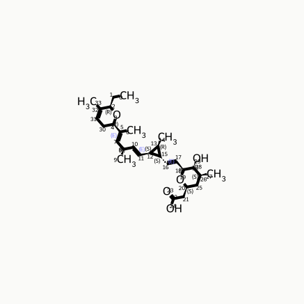 CC[C@H]1O[C@@H](/C(C)=C/[C@H](C)/C=C/[C@H]2[C@@H](C)[C@@H]2/C=C/[C@@H]2O[C@H](CC(=O)O)C[C@H](C)[C@H]2O)CC=C1C